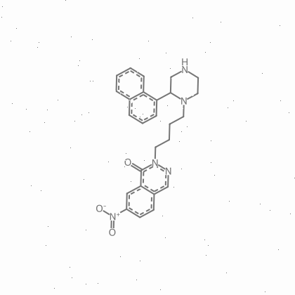 O=c1c2cc([N+](=O)[O-])ccc2cnn1CCCCN1CCNCC1c1cccc2ccccc12